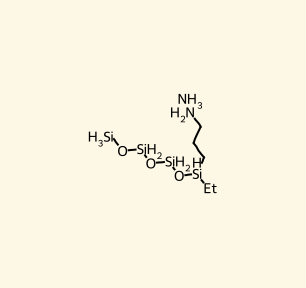 CC[SiH](CCCN)O[SiH2]O[SiH2]O[SiH3].N